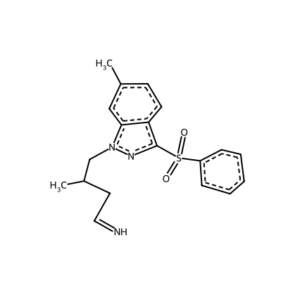 Cc1ccc2c(S(=O)(=O)c3ccccc3)nn(CC(C)CC=N)c2c1